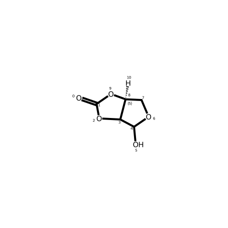 O=C1OC2C(O)OC[C@@H]2O1